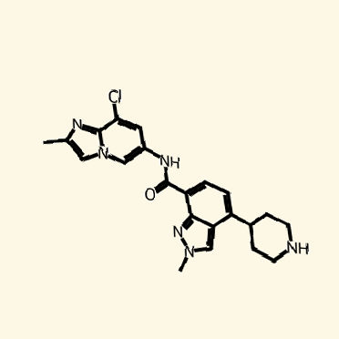 Cc1cn2cc(NC(=O)c3ccc(C4CCNCC4)c4cn(C)nc34)cc(Cl)c2n1